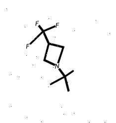 CC(C)(C)N1CC(C(F)(F)F)C1